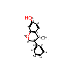 C[C@H]1c2ccc(O)cc2OCC1c1ccccc1